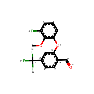 COc1c(F)cccc1Oc1cc(C(F)(F)F)ccc1C=O